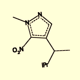 CC(C)C(C)c1cnn(C)c1[N+](=O)[O-]